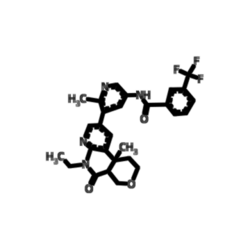 CCN1C(=O)C2COCCC2(C)c2cc(-c3cc(NC(=O)c4cccc(C(F)(F)F)c4)cnc3C)cnc21